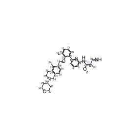 CO/C(Nc1cccc(-c2cccc(C)c2OCc2ccc3c(c2C)CCN(C2CCOCC2)C3)n1)=C(\C)C=N